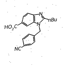 CCCCc1nc2ccc(C(=O)O)cc2n1Cc1ccc(C#N)cc1